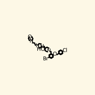 OC1(CN2CCN(CCCN3CCOCC3)CC2)CCN(Cc2cc(Br)ccc2OCc2ccc(Cl)cc2)CC1